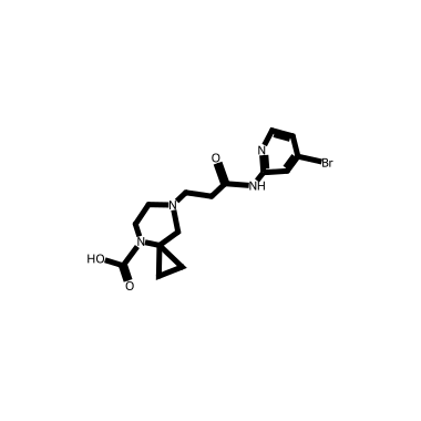 O=C(CCN1CCN(C(=O)O)C2(CC2)C1)Nc1cc(Br)ccn1